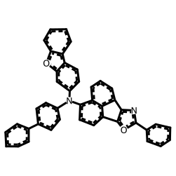 c1ccc(-c2ccc(N(c3ccc4c(c3)oc3ccccc34)c3ccc4c5c(cccc35)-c3nc(-c5ccccc5)oc3-4)cc2)cc1